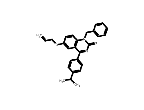 C=CCOc1ccc2c(c1)c(-c1ccc(C(C)C)cc1)nc(=O)n2Cc1ccccc1